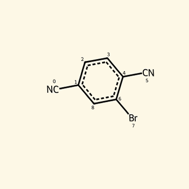 N#Cc1ccc(C#N)c(Br)c1